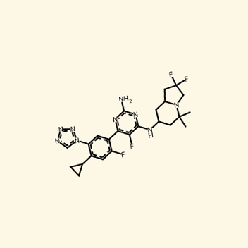 CC1(C)CC(Nc2nc(N)nc(-c3cc(-n4cnnn4)c(C4CC4)cc3F)c2F)CC2CC(F)(F)CN21